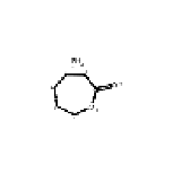 O=C1CCCCCO1.P